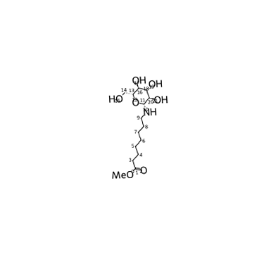 COC(=O)CCCCCCCN[C@@H]1O[C@H](CO)[C@@H](O)[C@H](O)[C@H]1O